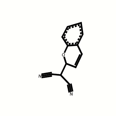 N#CC(C#N)C1C=Cc2ccccc2O1